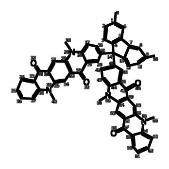 Cc1ccc2c(c1)-c1cc(C)ccc1C2(c1ccc2c(c1)c(=O)c1cc3c(cc1n2C)c(=O)c1ccccc1n3C)c1ccc2c(c1)c(=O)c1cc3c(cc1n2C)c(=O)c1ccccc1n3C